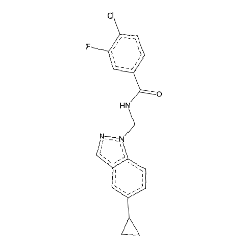 O=C(NCn1ncc2cc(C3CC3)ccc21)c1ccc(Cl)c(F)c1